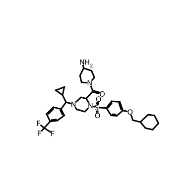 NC1CCN(C(=O)C2CN(C(c3ccc(C(F)(F)F)cc3)C3CC3)CCN2S(=O)(=O)c2ccc(OCC3CCCCC3)cc2)CC1